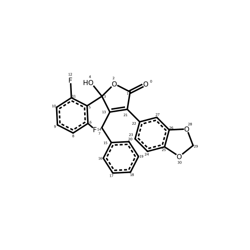 O=C1OC(O)(c2c(F)cccc2F)C(Cc2ccccc2)=C1c1ccc2c(c1)OCO2